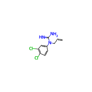 C=CCN(C(=N)N)c1ccc(Cl)c(Cl)c1